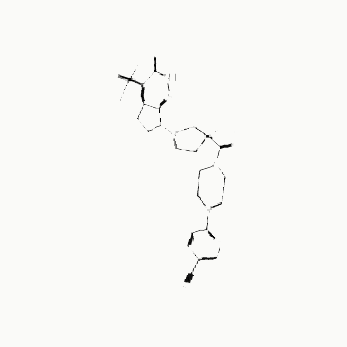 C[C@@]1(C(=O)N2CCN(c3ccc(C#N)cn3)CC2)CCN([C@H]2CCc3c2n[nH]c(=O)c3C(F)(F)F)C1